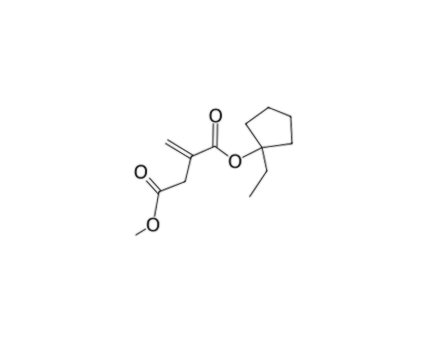 C=C(CC(=O)OC)C(=O)OC1(CC)CCCC1